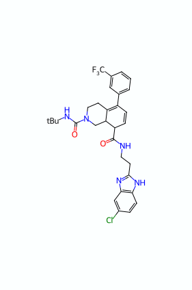 CC(C)(C)NC(=O)N1CCC2=C(c3cccc(C(F)(F)F)c3)C=CC(C(=O)NCCc3nc4cc(Cl)ccc4[nH]3)C2C1